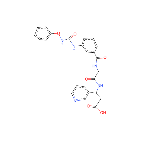 O=C(O)CC(NC(=O)CNC(=O)c1cccc(NC(=O)NOc2ccccc2)c1)c1cccnc1